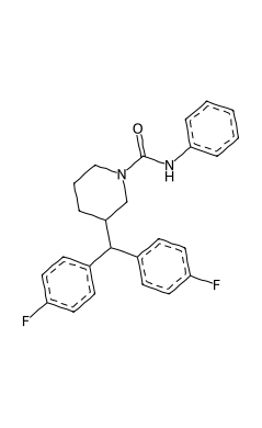 O=C(Nc1ccccc1)N1CCCC(C(c2ccc(F)cc2)c2ccc(F)cc2)C1